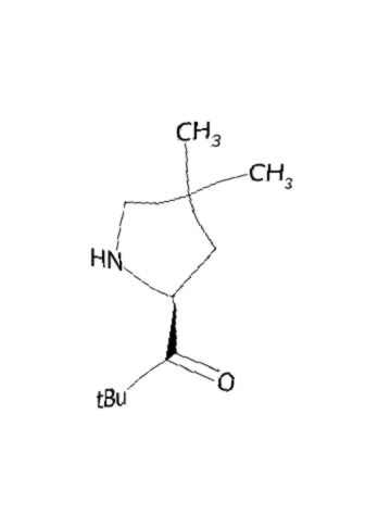 CC1(C)CN[C@H](C(=O)C(C)(C)C)C1